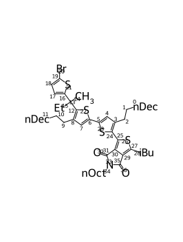 CCCCCCCCCCCCc1cc(-c2cc(CCCCCCCCCCCC)c(C(C)(CC)c3ccc(Br)s3)s2)sc1-c1sc(C(C)CC)c2c1C(=O)N(CCCCCCCC)C2=O